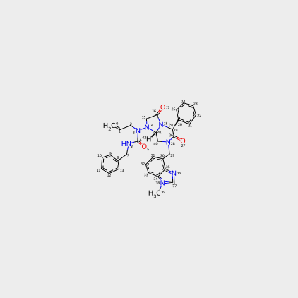 C=CCN(C(=O)NCc1ccccc1)N1CC(=O)N2[C@@H](c3ccccc3)C(=O)N(Cc3cccc4c3ncn4C)C[C@@H]21